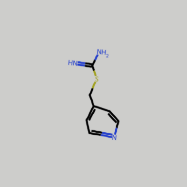 N=C(N)SCc1ccncc1